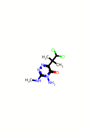 CNc1nnc(C(C)(C)C(Cl)Cl)c(=O)n1N